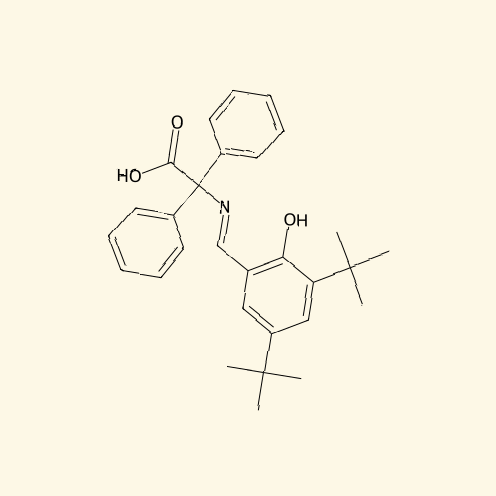 CC(C)(C)c1cc(/C=N/C(C(=O)O)(c2ccccc2)c2ccccc2)c(O)c(C(C)(C)C)c1